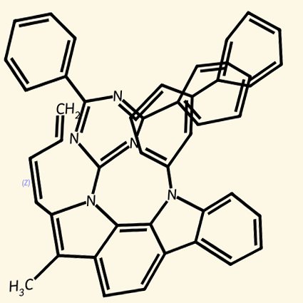 C=C/C=C\c1c(C)c2ccc3c4ccccc4n(-c4cccc(-c5ccccc5)c4)c3c2n1-c1nc(-c2ccccc2)nc(-c2ccccc2)n1